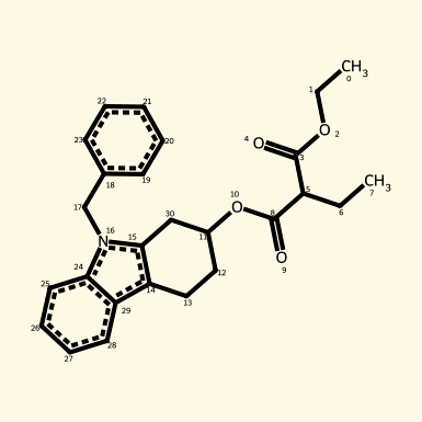 CCOC(=O)C(CC)C(=O)OC1CCc2c(n(Cc3ccccc3)c3ccccc23)C1